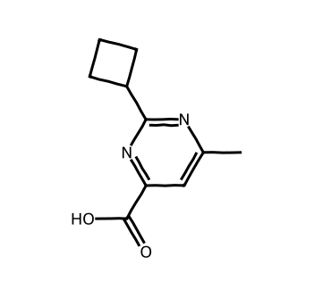 Cc1cc(C(=O)O)nc(C2CCC2)n1